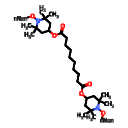 CCCCCCCCCON1C(C)(C)CC(OC(=O)CCCCCCCCC(=O)OC2CC(C)(C)N(OCCCCCCCCC)C(C)(C)C2)CC1(C)C